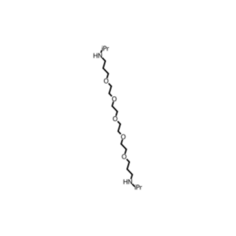 CC(C)NCCCOCCOCCOCCOCCOCCCNC(C)C